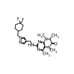 Cc1nc(NCc2cnn(CC3CCC(F)(F)CC3)c2)nc2c1N(C)C(=O)C(C)N2C